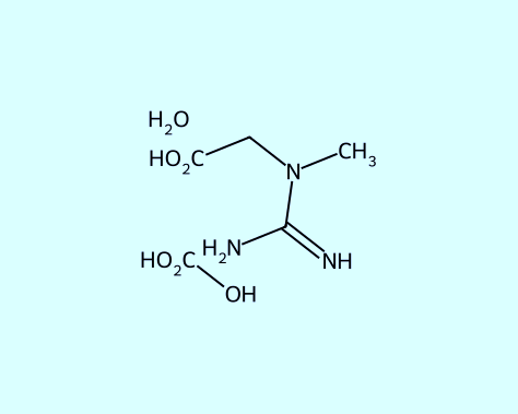 CN(CC(=O)O)C(=N)N.O.O=C(O)O